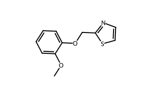 COc1ccccc1OCc1nccs1